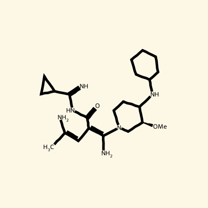 CO[C@H]1CN(/C(N)=C(/C=C(/C)N)C(=O)NC(=N)C2CC2)CCC1NC1CCCCC1